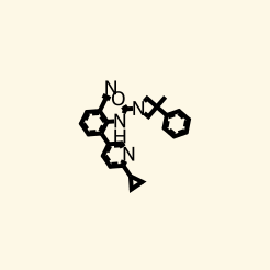 CC1(c2ccccc2)CN(C(=O)Nc2c(C#N)cccc2-c2ccc(C3CC3)nc2)C1